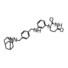 O=C1CCN(c2cccc(NCc3ccc(CNC45CC6CC(CC(C6)C4)C5)cc3)c2)C(=O)N1